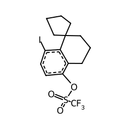 O=S(=O)(Oc1ccc(I)c2c1CCCC21CCCC1)C(F)(F)F